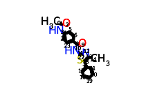 CC(=O)Nc1ccc(C(=O)Nc2nc(C)c(-c3ccccc3)s2)cc1